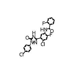 O=C(Nc1cc(-c2nn(-c3ccc(Cl)cc3)c(=O)[nH]2)c(Cl)cc1F)c1ccccc1F